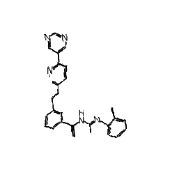 C=C(/C=C\C(=N/C)c1cncnc1)CCc1cccc(C(=C)N/C(C)=N/c2ccccc2C)c1